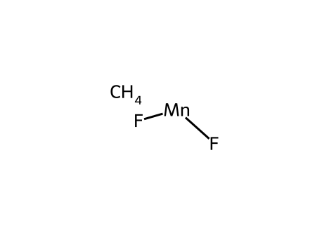 C.[F][Mn][F]